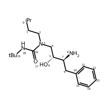 CC(C)CCN(C[C@@H](O)[C@@H](N)Cc1ccccc1)C(=O)NC(C)(C)C